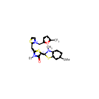 CCn1c(=O)/c(=C2\Sc3cc(SC)ccc3N2C)s/c1=C\c1scc[n+]1Cc1ccc(C(F)(F)F)o1